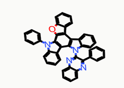 c1ccc(-c2nc3ccccc3nc2-n2c3ccccc3c3c4c5ccccc5oc4c4c(c5ccccc5n4-c4ccccc4)c32)cc1